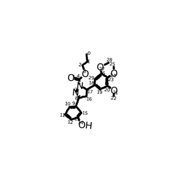 CCCOC(=O)N1N=C(c2cccc(O)c2)CC1c1cc(OC)c(OC)c(OC)c1